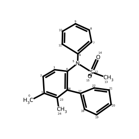 Cc1ccc(N(c2ccccc2)S(C)(=O)=O)c(-c2ccccc2)c1C